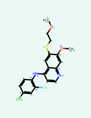 COCCSc1cc2c(Nc3ccc(Cl)cc3F)ccnc2cc1OC